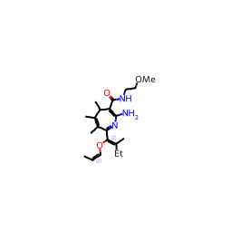 C/C=C\O/C(C1=NC(N)=C(C(=O)NCCOC)C(C)C(C)=C1C)=C(/C)CC